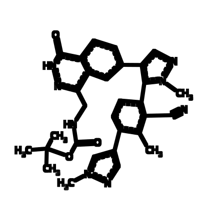 Cc1c(-c2cnn(C)c2)ccc(-c2c(-c3ccc4c(=O)[nH]nc(CNC(=O)OC(C)(C)C)c4c3)cnn2C)c1C#N